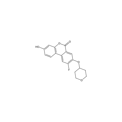 O=c1oc2cc(O)ccc2c2cc(F)c(OC3CCOCC3)cc12